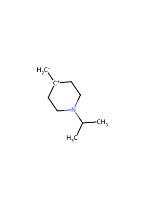 [CH2-][C+]1CCN(C(C)C)CC1